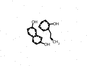 C=CCc1ccccc1O.Oc1ccc2ccc(O)cc2c1